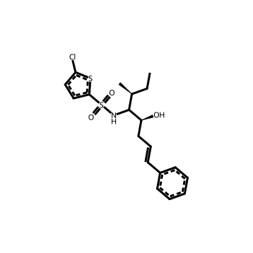 CC[C@H](C)C(NS(=O)(=O)c1ccc(Cl)s1)[C@@H](O)C/C=C/c1ccccc1